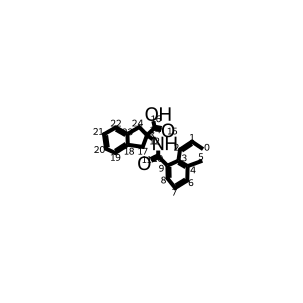 C/C=C\c1c(C)cccc1C(=O)NC1(C(=O)O)Cc2ccccc2C1